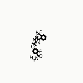 Cn1c(-c2ccccc2C(F)(F)F)nnc1C(C)(C)Oc1ccc(C(N)=O)c(F)c1